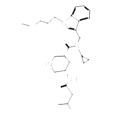 COCCCn1cc(CN(C(=O)[C@@H]2CNC[C@H](NC(=O)CC(C)C)C2)C2CC2)c2ccccc21